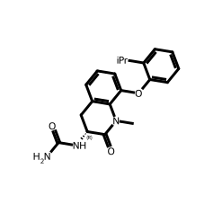 CC(C)c1ccccc1Oc1cccc2c1N(C)C(=O)[C@H](NC(N)=O)C2